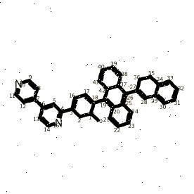 CC1CC(c2cc(-c3ccncc3)ccn2)=CC=C1C1=c2ccccc2=C(C2=Cc3ccccc3CC2)C2C=CC=CC12